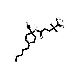 CCCCCN1CCC(C#N)(NC(=O)[CH]CC(C)(C)C(N)=O)CC1